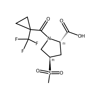 CS(=O)(=O)[C@@H]1C[C@@H](C(=O)O)N(C(=O)C2(C(F)(F)F)CC2)C1